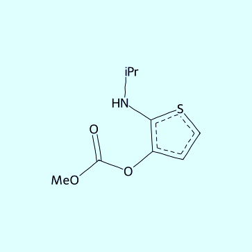 COC(=O)Oc1ccsc1NC(C)C